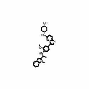 COc1cc(-c2cnc3ccc(N[C@H]4CC[C@H](O)CC4)nn23)ccc1NC(=O)c1cc2ccccc2n1C